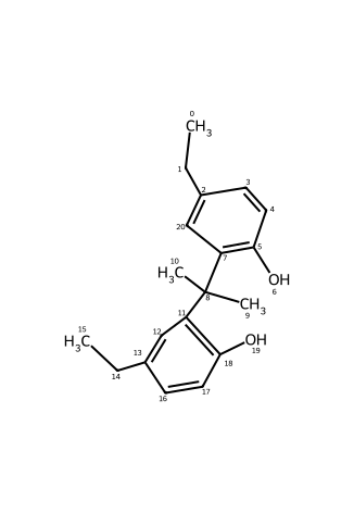 CCc1ccc(O)c(C(C)(C)c2cc(CC)ccc2O)c1